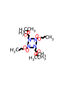 CCCCOC(=O)N1CCN(CCC(=O)OC(C)(C)C)CCN(C(=O)OCCCC)CCN(CCC(=O)OC(C)(C)C)CC1